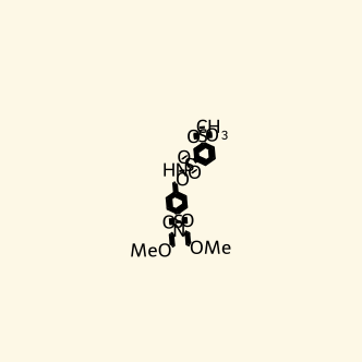 COCCN(CCOC)S(=O)(=O)c1ccc(CONS(=O)(=O)c2cccc(S(C)(=O)=O)c2)cc1